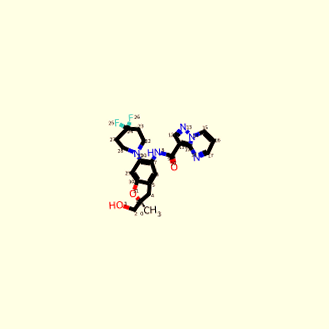 C[C@@]1(CO)Cc2cc(NC(=O)c3cnn4cccnc34)c(N3CCC(F)(F)CC3)cc2O1